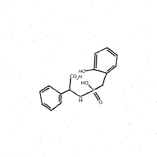 O=C(O)C(NP(=O)(O)Cc1ccccc1O)c1ccccc1